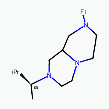 CCN1CCN2CCN([C@@H](C)C(C)C)CC2C1